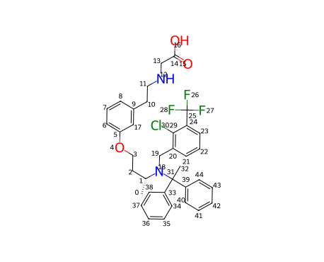 C[C@H](CCOc1cccc(CCNCC(=O)O)c1)N(Cc1cccc(C(F)(F)F)c1Cl)C(C)(c1ccccc1)c1ccccc1